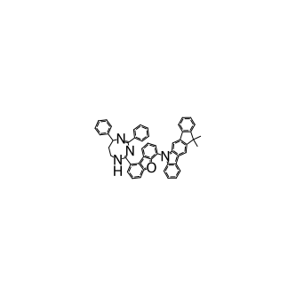 CC1(C)c2ccccc2-c2cc3c(cc21)c1ccccc1n3-c1cccc2c1oc1cccc(/C3=N/C(c4ccccc4)=N\C(c4ccccc4)CCN3)c12